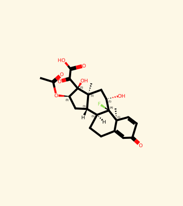 CC(=O)O[C@@H]1C[C@H]2[C@@H]3CCC4=CC(=O)C=C[C@]4(C)[C@@]3(F)[C@@H](O)C[C@]2(C)[C@@]1(O)C(=O)C(=O)O